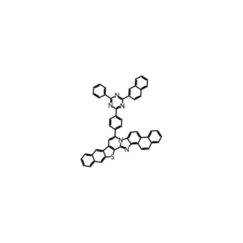 c1ccc(-c2nc(-c3ccc(-c4cc5c6cc7ccccc7cc6sc5c5nc6c7ccc8ccccc8c7ccc6n45)cc3)nc(-c3ccc4ccccc4c3)n2)cc1